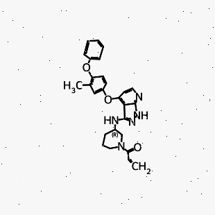 C=CC(=O)N1CCC[C@@H](Nc2n[nH]c3nccc(Oc4ccc(Oc5ccccc5)c(C)c4)c23)C1